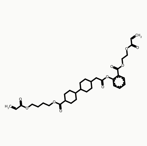 C=CC(=O)OCCCCOC(=O)C1CCC(C2CCC(CC(=O)Oc3ccccc3C(=O)OCCOC(=O)C=C)CC2)CC1